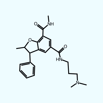 CNC(=O)c1cc(C(=O)NCCCN(C)C)cc2c1OC(C)C2c1ccccc1